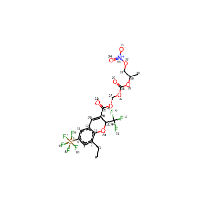 CCc1cc(S(F)(F)(F)(F)F)cc2c1OC(C(F)(F)F)C(C(=O)OCOC(=O)OC(C)CO[N+](=O)[O-])=C2